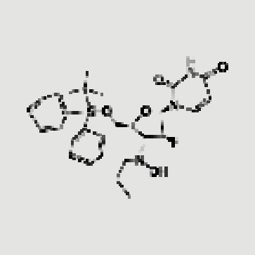 CC(C)CN(O)[C@H]1[C@H](F)[C@H](n2ccc(=O)[nH]c2=O)O[C@@H]1CO[Si](c1ccccc1)(c1ccccc1)C(C)(C)C